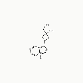 OCC1(O)CC(C2=C3C=NC=C[N+]3(Cl)C=N2)C1